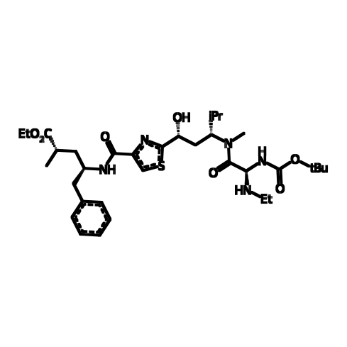 CCN[C@H](NC(=O)OC(C)(C)C)C(=O)N(C)[C@H](C[C@@H](O)c1nc(C(=O)N[C@@H](Cc2ccccc2)C[C@H](C)C(=O)OCC)cs1)C(C)C